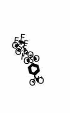 O=[N+]([O-])c1ccc(S(=O)(=O)OP(I)SS(=O)(=O)C(F)(F)F)cc1